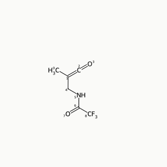 CC(=C=O)CNC(=O)C(F)(F)F